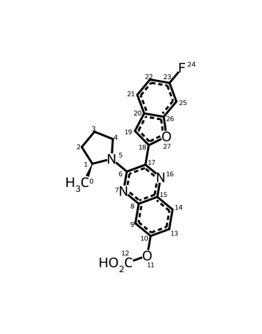 C[C@H]1CCCN1c1nc2cc(OC(=O)O)ccc2nc1-c1cc2ccc(F)cc2o1